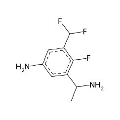 CC(N)c1cc(N)cc(C(F)F)c1F